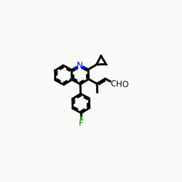 CC(=CC=O)c1c(C2CC2)nc2ccccc2c1-c1ccc(F)cc1